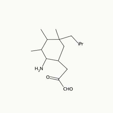 CC(C)CC1(C)CC(CC(=O)C=O)C(N)C(C)C1C